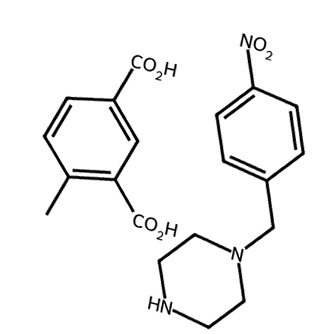 Cc1ccc(C(=O)O)cc1C(=O)O.O=[N+]([O-])c1ccc(CN2CCNCC2)cc1